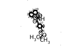 CC(C)C(=O)OCc1ccc(C(=O)NS(=O)(=O)c2cccc3ccccc23)cn1